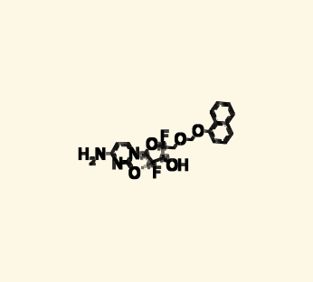 C[C@]1(F)[C@H](n2ccc(N)nc2=O)O[C@](F)(COCOc2cccc3ccccc23)[C@H]1O